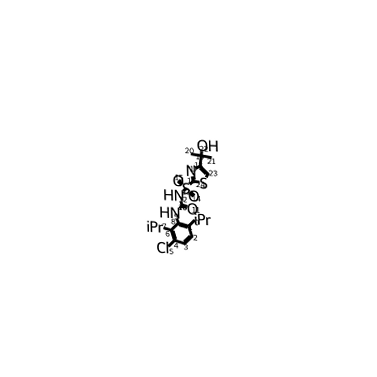 CC(C)c1ccc(Cl)c(C(C)C)c1NC(=O)NS(=O)(=O)c1nc(C(C)(C)O)cs1